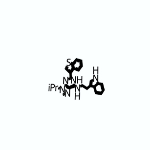 CC(C)n1cnc2c1=NC(c1csc3ccccc13)NC=2NCCC1=CNC2C=CC=CC12